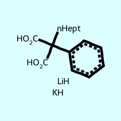 CCCCCCCC(C(=O)O)(C(=O)O)c1ccccc1.[KH].[LiH]